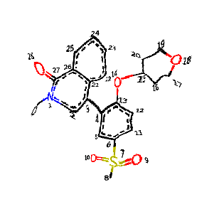 Cn1cc(-c2cc(S(C)(=O)=O)ccc2OC2CCOCC2)c2ccccc2c1=O